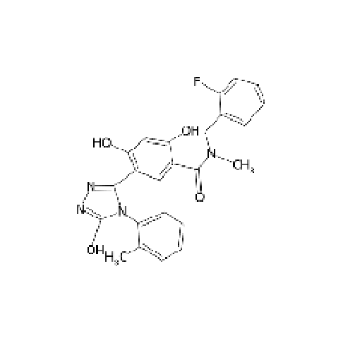 Cc1ccccc1-n1c(O)nnc1-c1cc(C(=O)N(C)Cc2ccccc2F)c(O)cc1O